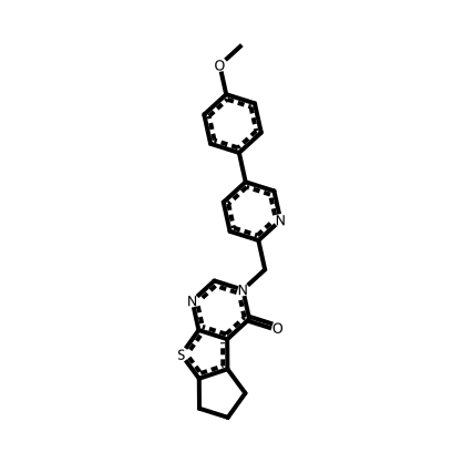 COc1ccc(-c2ccc(Cn3cnc4sc5c(c4c3=O)CCC5)nc2)cc1